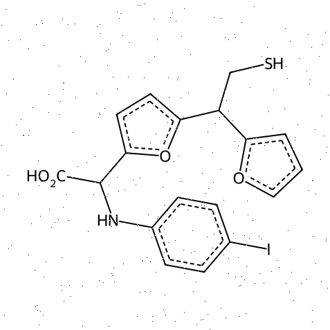 O=C(O)C(Nc1ccc(I)cc1)c1ccc(C(CS)c2ccco2)o1